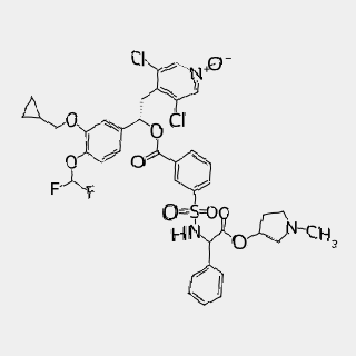 CN1CCC(OC(=O)C(NS(=O)(=O)c2cccc(C(=O)O[C@@H](Cc3c(Cl)c[n+]([O-])cc3Cl)c3ccc(OC(F)F)c(OCC4CC4)c3)c2)c2ccccc2)C1